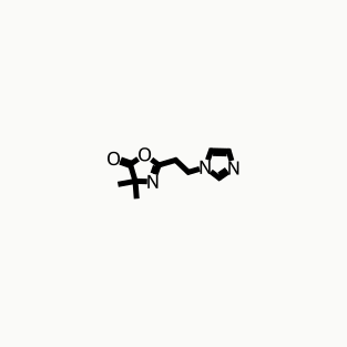 CC1(C)N=C(CCn2ccnc2)OC1=O